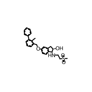 Cc1c(COc2ccc3c(c2)C[C@@H](O)[C@@H]3NCCS(C)(=O)=O)cccc1-c1ccccc1